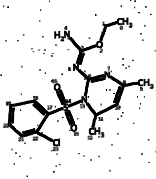 CCOC(N)=NC1=NC(C)=CC(C)N1S(=O)(=O)c1ccccc1Cl